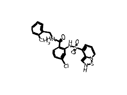 Cc1ccccc1CNC(=O)c1ccc(Cl)cc1NS(=O)(=O)C1=CC=CN2SNC=C12